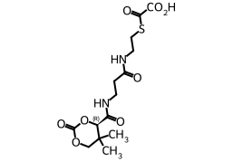 CC1(C)COC(=O)O[C@H]1C(=O)NCCC(=O)NCCSC(=O)C(=O)O